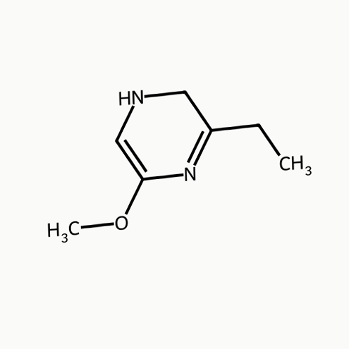 CCC1=NC(OC)=CNC1